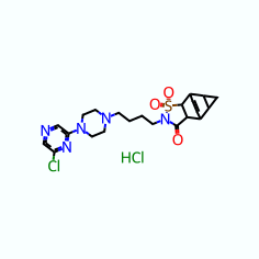 Cl.O=C1C2C3C=CC(C4CC34)C2S(=O)(=O)N1CCCCN1CCN(c2cncc(Cl)n2)CC1